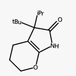 CC(C)C1(C(C)(C)C)C(=O)NC2=C1CCCO2